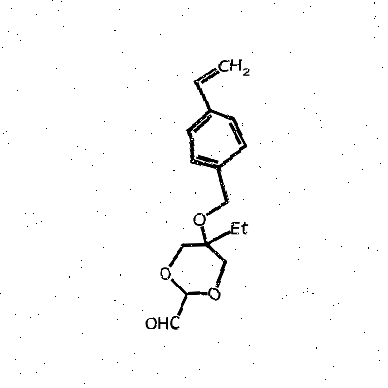 C=Cc1ccc(COC2(CC)COC(C=O)OC2)cc1